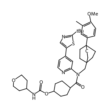 COc1ccc(C23CCC(CN(C(=O)C4CCC(OC(=O)NC5CCOCC5)CC4)c4cc(-c5cnc(C(C)(C)C)s5)ccn4)(CC2)CC3)cc1C